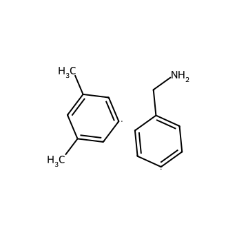 Cc1c[c]cc(C)c1.NCc1cc[c]cc1